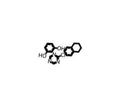 Clc1ncncn1.Oc1cccc(O)c1.c1ccc2c(c1)CCCC2